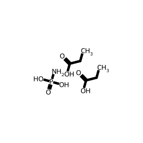 CCC(=O)O.CCC(=O)O.NP(=O)(O)O